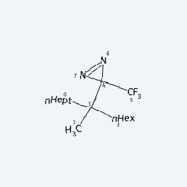 CCCCCCCC(C)(CCCCCC)C1(C(F)(F)F)N=N1